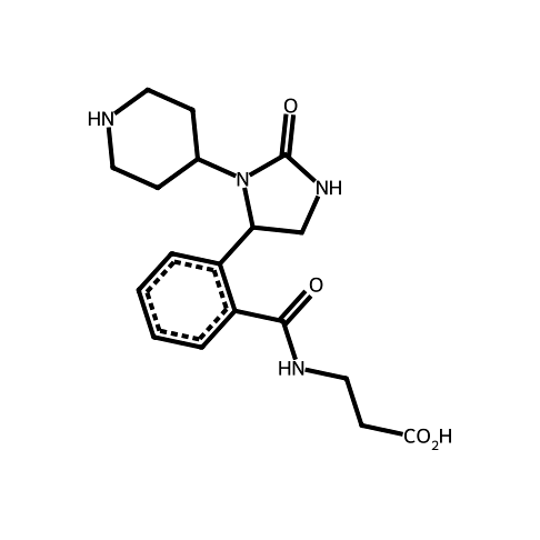 O=C(O)CCNC(=O)c1ccccc1C1CNC(=O)N1C1CCNCC1